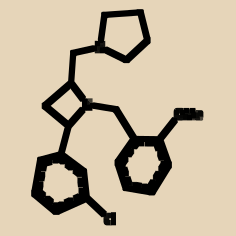 COc1ccccc1CN1C(CN2CCCC2)CC1c1cccc(Cl)c1